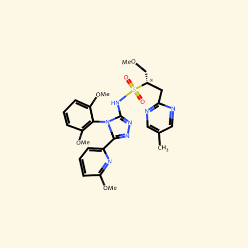 COC[C@H](Cc1ncc(C)cn1)S(=O)(=O)Nc1nnc(-c2cccc(OC)n2)n1-c1c(OC)cccc1OC